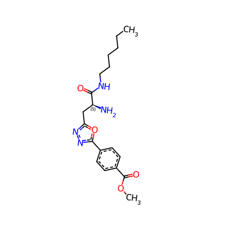 CCCCCCNC(=O)[C@@H](N)Cc1nnc(-c2ccc(C(=O)OC)cc2)o1